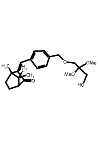 COC(CO)(COCc1ccc(C=C2C(=O)C3CCC2(C)C3(C)C)cc1)OC